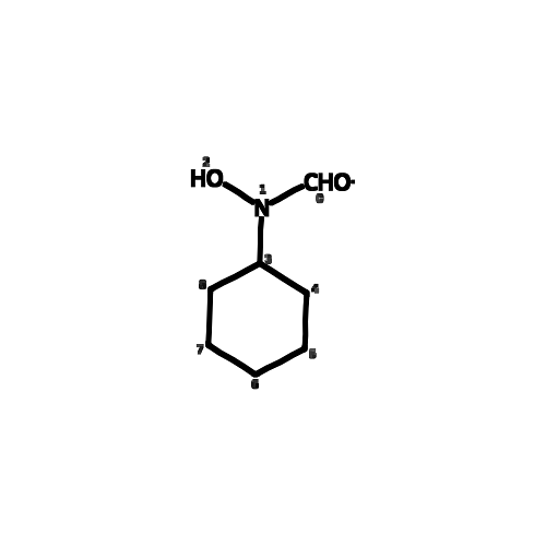 O=[C]N(O)C1CCCCC1